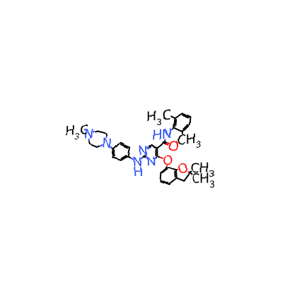 Cc1cccc(C)c1NC(=O)c1cnc(Nc2ccc(N3CCN(C)CC3)cc2)nc1Oc1cccc2c1OC(C)(C)C2